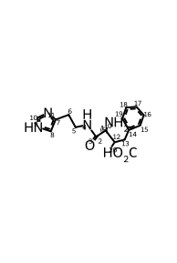 N[C@H](C(=O)NCCc1c[nH]cn1)C(Cc1ccccc1)C(=O)O